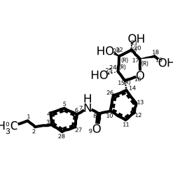 CCCc1ccc(NC(=O)c2cccc([C@H]3O[C@H](CO)[C@@H](O)[C@H](O)[C@H]3O)c2)cc1